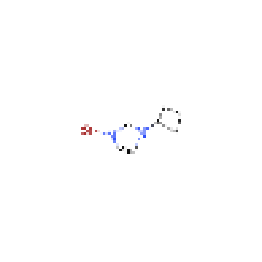 BrN1C=CN(C2CCC2)C1